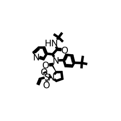 C=CS(=O)(=O)N1CCC[C@@H]1C(=O)N(c1ccc(C(C)(C)C)cc1)C(C(=O)NC(C)(C)C)c1cccnc1